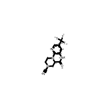 N#CB1CCN2c3ncc(C(F)(F)F)cc3NC(=O)C2C1